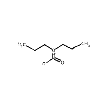 CCCOCCC.O=[NH+][O-]